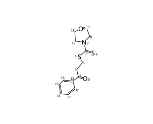 O=C(CCSC(=S)N1CCOCC1)c1ccccc1